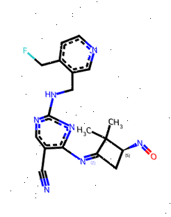 CC1(C)/C(=N\c2nc(NCc3cnccc3CF)ncc2C#N)C[C@@H]1N=O